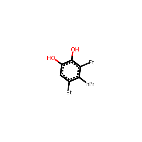 CCCc1c(CC)cc(O)c(O)c1CC